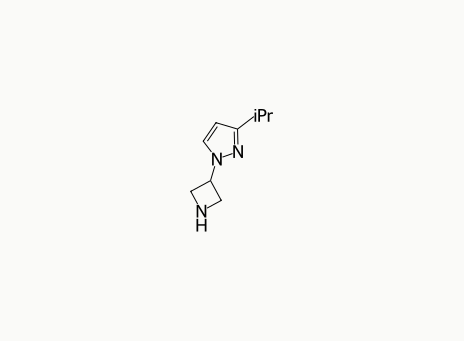 CC(C)c1ccn(C2CNC2)n1